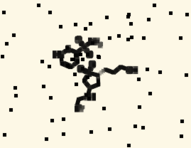 CC(C)CNC1C[C@@H](CCCO)S(=O)(=O)C1.NS(=O)(=O)C1=CC=CNS1